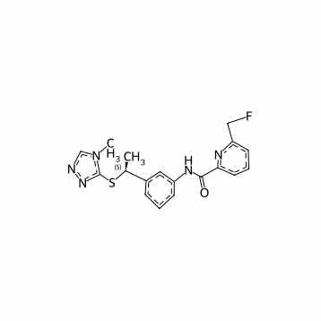 C[C@H](Sc1nncn1C)c1cccc(NC(=O)c2cccc(CF)n2)c1